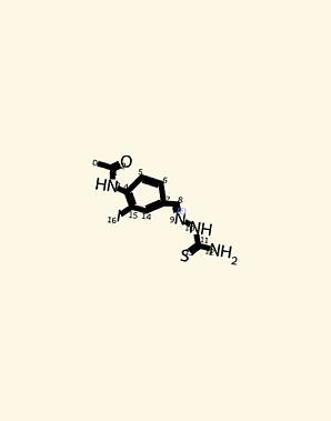 CC(=O)Nc1ccc(/C=N/NC(N)=S)cc1I